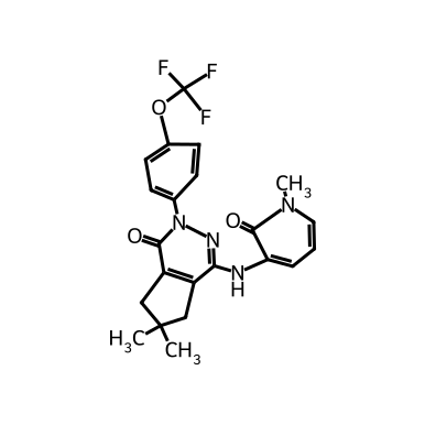 Cn1cccc(Nc2nn(-c3ccc(OC(F)(F)F)cc3)c(=O)c3c2CC(C)(C)C3)c1=O